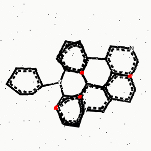 c1ccc(N(c2ccccc2)c2ccccc2-c2cnccc2-c2ccncc2-c2ccccc2N(c2ccccc2)c2ccccc2)cc1